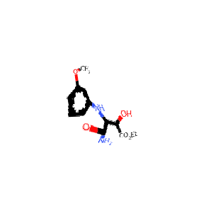 CCOC(=O)C(O)C(Nc1cccc(OC(F)(F)F)c1)C(N)=O